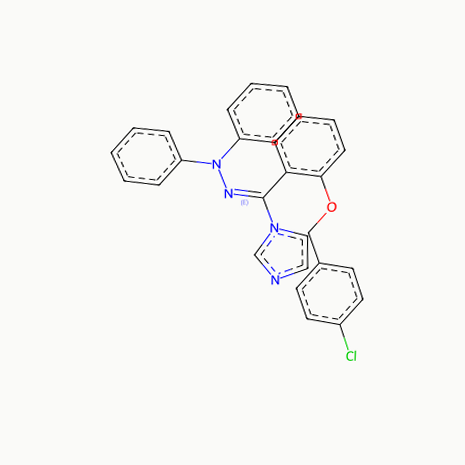 Clc1ccc(COc2ccccc2/C(=N\N(c2ccccc2)c2ccccc2)n2ccnc2)cc1